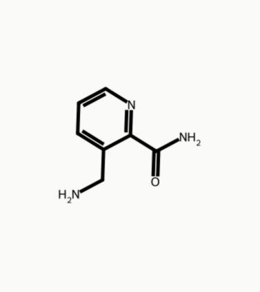 NCc1cccnc1C(N)=O